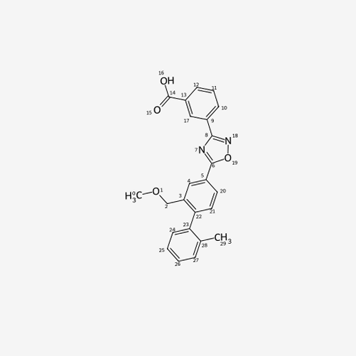 COCc1cc(-c2nc(-c3cccc(C(=O)O)c3)no2)ccc1-c1ccccc1C